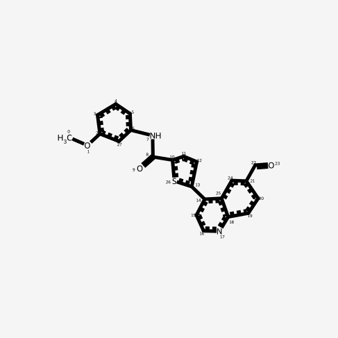 COc1cccc(NC(=O)c2ccc(-c3ccnc4ccc(C=O)cc34)s2)c1